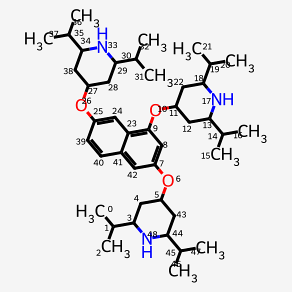 CC(C)C1CC(Oc2cc(OC3CC(C(C)C)NC(C(C)C)C3)c3cc(OC4CC(C(C)C)NC(C(C)C)C4)ccc3c2)CC(C(C)C)N1